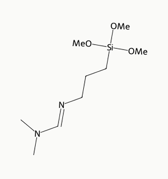 CO[Si](CCCN=CN(C)C)(OC)OC